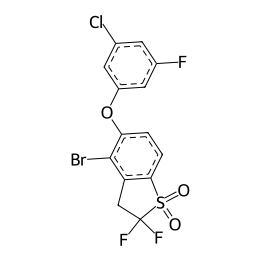 O=S1(=O)c2ccc(Oc3cc(F)cc(Cl)c3)c(Br)c2CC1(F)F